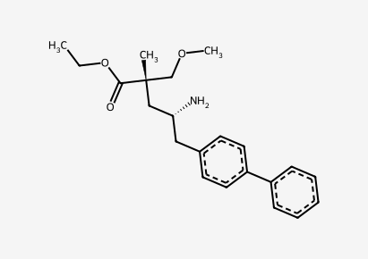 CCOC(=O)[C@](C)(COC)C[C@H](N)Cc1ccc(-c2ccccc2)cc1